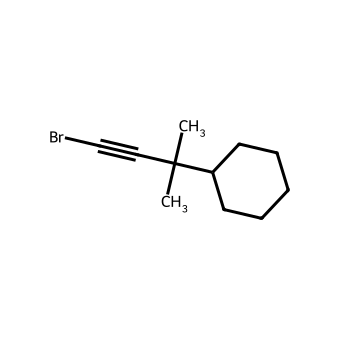 CC(C)(C#CBr)C1CCCCC1